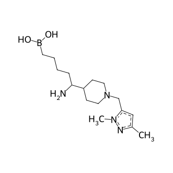 Cc1cc(CN2CCC(C(N)CCCCB(O)O)CC2)n(C)n1